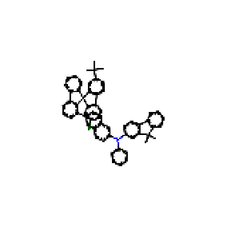 CC(C)(C)c1ccc2c(c1)C1(c3cc(F)ccc3-2)c2ccccc2-c2cccc(-c3ccc4cc(N(c5ccccc5)c5ccc6c(c5)C(C)(C)c5ccccc5-6)ccc4c3)c21